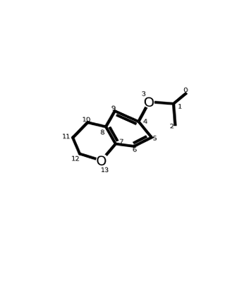 CC(C)Oc1ccc2c(c1)CCCO2